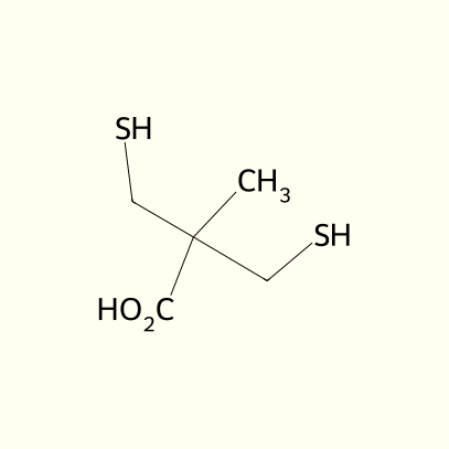 CC(CS)(CS)C(=O)O